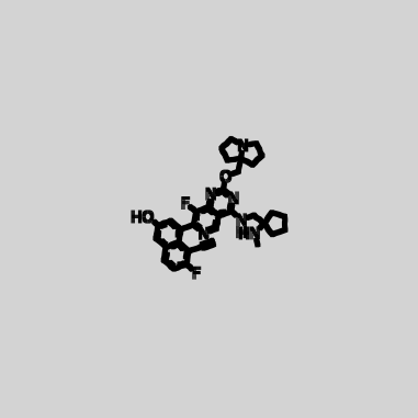 C#Cc1c(F)ccc2cc(O)cc(-c3ncc4c(NCC5(NC)CCCC5)nc(OCC56CCCN5CCC6)nc4c3F)c12